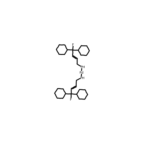 FC(C=CC[PH][Pd][PH]CC=CC(F)(C1CCCCC1)C1CCCCC1)(C1CCCCC1)C1CCCCC1